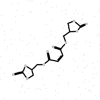 O=C(/C=C\C(=O)OCC1COC(=O)O1)OCC1COC(=O)O1